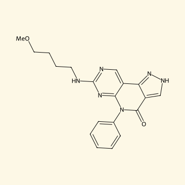 COCCCCNc1ncc2c3n[nH]cc3c(=O)n(-c3ccccc3)c2n1